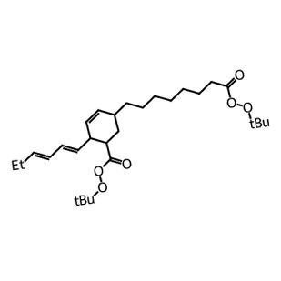 CCC=CC=CC1C=CC(CCCCCCCC(=O)OOC(C)(C)C)CC1C(=O)OOC(C)(C)C